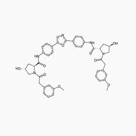 COc1cccc(CC(=O)N2C[C@H](O)C[C@H]2C(=O)Nc2ccc(-c3cnc(-c4ccc(NC(=O)[C@@H]5C[C@@H](O)CN5C(=O)Cc5cccc(OC)c5)cc4)o3)cc2)c1